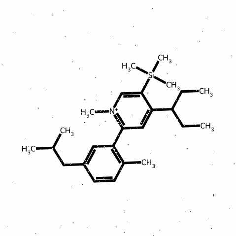 CCC(CC)c1cc(-c2cc(CC(C)C)ccc2C)[n+](C)cc1[Si](C)(C)C